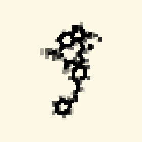 COc1ccc2ncc(C)c([C@H](F)CCC3(CC(=O)O)CCN(CCSc4ccccn4)CC3)c2c1